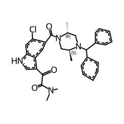 C[C@@H]1CN(C(c2ccccc2)c2ccccc2)[C@@H](C)CN1C(=O)c1cc2c(C(=O)C(=O)N(C)C)c[nH]c2cc1Cl